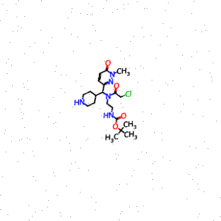 Cn1nc(C(C2CCNCC2)N(CCNC(=O)OC(C)(C)C)C(=O)CCl)ccc1=O